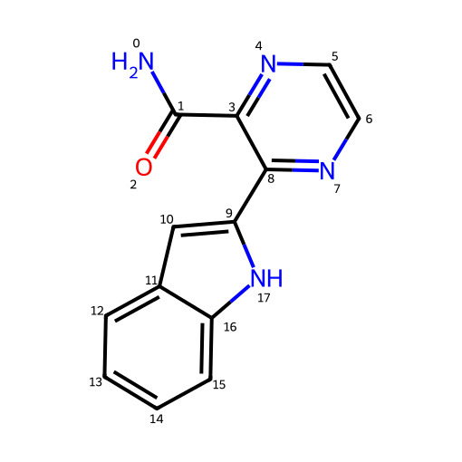 NC(=O)c1nccnc1-c1cc2ccccc2[nH]1